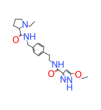 CCOc1cc(C(=O)NCCc2ccc(CNC(=O)C3CCCN3CC)cc2)n[nH]1